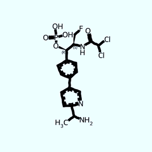 CC(N)c1ccc(-c2ccc([C@@H](OP(=O)(O)O)[C@@H](CF)NC(=O)C(Cl)Cl)cc2)cn1